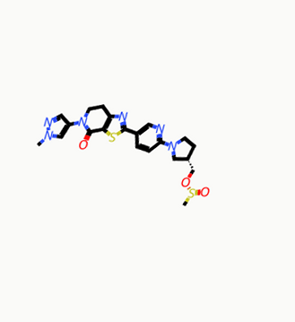 Cn1cc(N2CCc3nc(-c4ccc(N5CC[C@H](COS(C)=O)C5)nc4)sc3C2=O)cn1